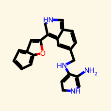 NC1=CNCC=C1NCc1ccc2c(c1)=C(c1cc3ccccc3o1)CNC=2